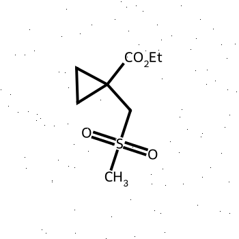 CCOC(=O)C1(CS(C)(=O)=O)CC1